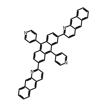 c1ccc2cc3nc(-c4ccc5c(-c6ccncc6)c6ccc(-c7ccc8cc9ccccc9cc8n7)cc6c(-c6ccncc6)c5c4)ccc3cc2c1